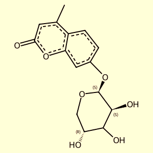 Cc1cc(=O)oc2cc(O[C@@H]3OC[C@@H](O)C(O)[C@@H]3O)ccc12